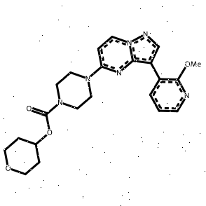 COc1ncccc1-c1cnn2ccc(N3CCN(C(=O)OC4CCOCC4)CC3)nc12